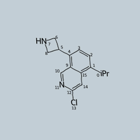 CC(C)c1ccc(C2CNC2)c2cnc(Cl)cc12